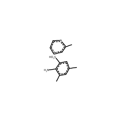 Cc1cc(C)c(N)c(S(=O)(=O)O)c1.Cc1ccccn1